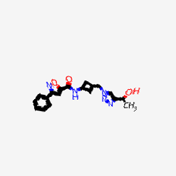 C[C@H](O)c1cn(CC2CC(NC(=O)c3cc(-c4ccccc4)no3)C2)nn1